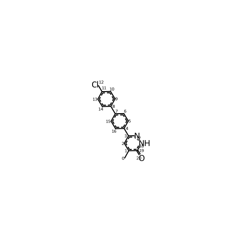 Cc1cc(-c2ccc(-c3ccc(Cl)cc3)cc2)n[nH]c1=O